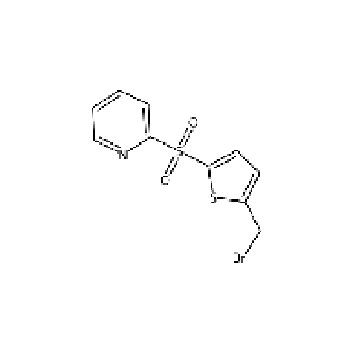 O=S(=O)(c1ccccn1)c1ccc(CBr)s1